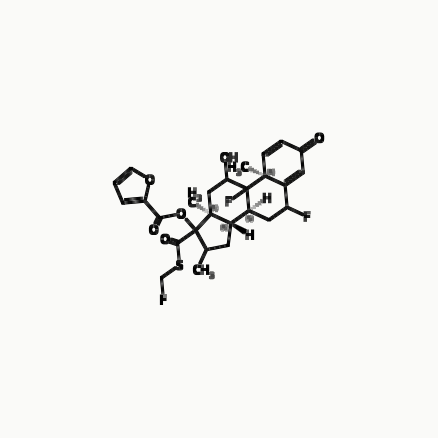 CC1C[C@H]2[C@@H]3CC(F)C4=CC(=O)C=C[C@]4(C)C3(F)C(O)C[C@]2(C)C1(OC(=O)c1ccco1)C(=O)SCF